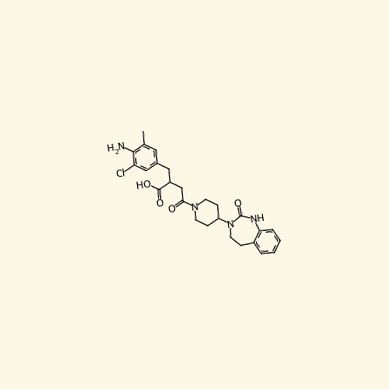 Cc1cc(CC(CC(=O)N2CCC(N3CCc4ccccc4NC3=O)CC2)C(=O)O)cc(Cl)c1N